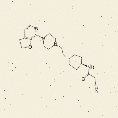 N#CCC(=O)N[C@H]1CC[C@H](CCN2CCN(c3nccc4c3OCC4)CC2)CC1